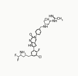 C=C[C@@H](CCNC(C)=N)NCc1ccc(-n2cc3cc(-c4cc(CCCC(N)C(F)F)cc(Cl)c4F)[nH]c3nc2=O)cc1